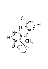 CC1(c2cc(Oc3c(Cl)cc(I)cc3Cl)n[nH]c2=O)OCCO1